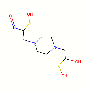 O=NC(CN1CCN(CC(O)SO)CC1)SO